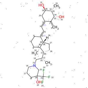 C=C1/C(=C\C=C2/CCC[C@]3(C)[C@@H]([C@H](C)CN4CCCC(O)(C(F)(F)F)C4)CC[C@@H]23)C[C@@H](O)[C@H](C)[C@@H]1O